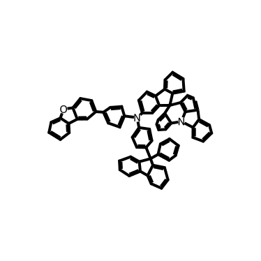 c1ccc(C2(c3ccc(N(c4ccc(-c5ccc6oc7ccccc7c6c5)cc4)c4ccc5c(c4)C4(c6ccccc6-5)c5ccccc5-n5c6ccccc6c6cccc4c65)cc3)c3ccccc3-c3ccccc32)cc1